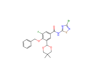 CC1(C)COC(c2cc(C(=O)Nc3nc(Br)ns3)cc(F)c2OCc2ccccc2)OC1